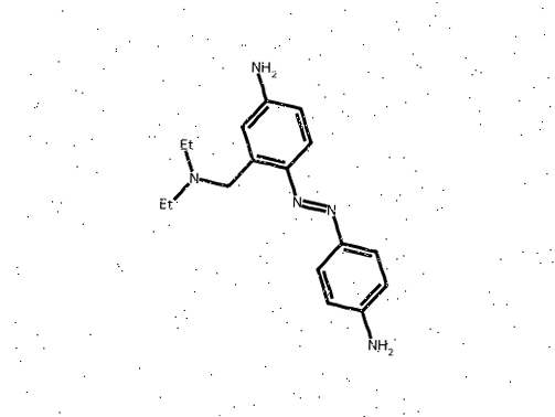 CCN(CC)Cc1cc(N)ccc1/N=N/c1ccc(N)cc1